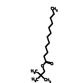 CCCCCCCCCCCC(=O)OCC(C)(C)C